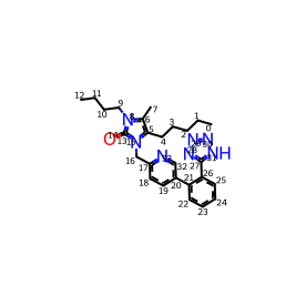 CCCCCc1c(C)n(CCCC)c(=O)n1Cc1ccc(-c2ccccc2-c2nnn[nH]2)cn1